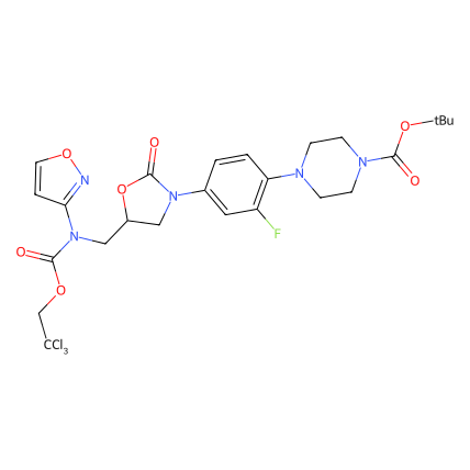 CC(C)(C)OC(=O)N1CCN(c2ccc(N3CC(CN(C(=O)OCC(Cl)(Cl)Cl)c4ccon4)OC3=O)cc2F)CC1